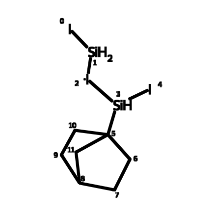 I[SiH2][I][SiH](I)C12CCC(CC1)C2